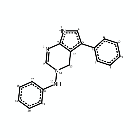 C1=Nc2[nH]cc(-c3ccccc3)c2CN1Nc1ccccc1